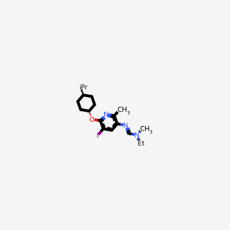 CCN(C)/C=N/c1cc(I)c(O[C@H]2CC[C@H](C(C)C)CC2)nc1C